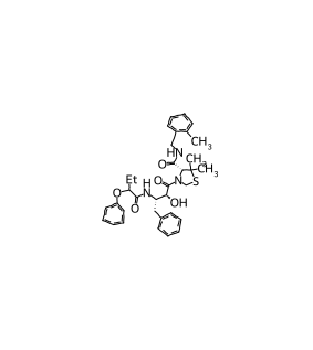 CCC(Oc1ccccc1)C(=O)N[C@@H](Cc1ccccc1)[C@H](O)C(=O)N1CSC(C)(C)[C@H]1C(=O)NCc1ccccc1C